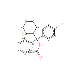 CNC(=O)OC(c1ccc(F)cc1)(c1ccccc1F)C1CCCCC1